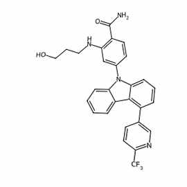 NC(=O)c1ccc(-n2c3ccccc3c3c(-c4ccc(C(F)(F)F)nc4)cccc32)cc1NCCCO